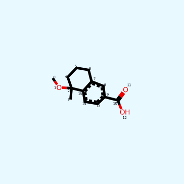 COC1(C)CCCc2cc(C(=O)O)ccc21